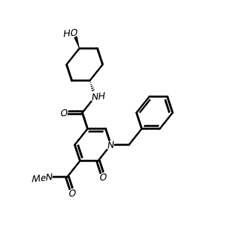 CNC(=O)c1cc(C(=O)N[C@H]2CC[C@H](O)CC2)cn(Cc2ccccc2)c1=O